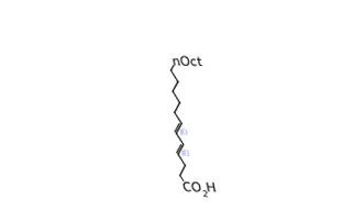 CCCCCCCCCCCCC/C=C/C=C/CCC(=O)O